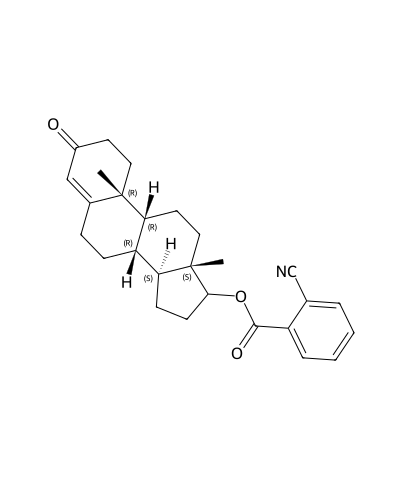 C[C@]12CCC(=O)C=C1CC[C@@H]1[C@H]2CC[C@]2(C)C(OC(=O)c3ccccc3C#N)CC[C@@H]12